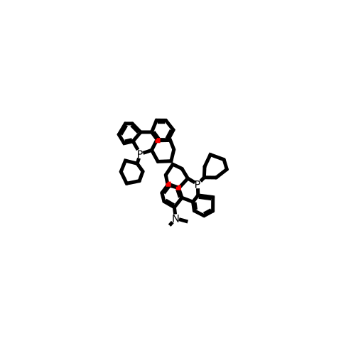 CN(C)c1ccccc1-c1ccccc1P(C1CCCCC1)C1CCCCC1.c1ccc(-c2ccccc2P(C2CCCCC2)C2CCCCC2)cc1